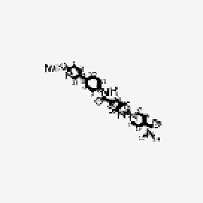 COc1ccc(C2C=CC(NC(=O)c3cc4sc(N5CCC(C(=O)N(C)C)CC5)nc4s3)=CC2)cn1